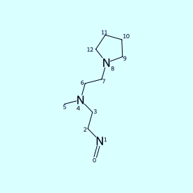 C=NCCN(C)CCN1CCCC1